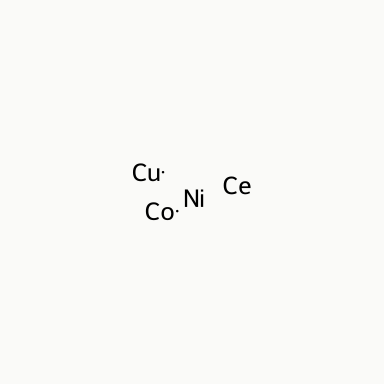 [Ce].[Co].[Cu].[Ni]